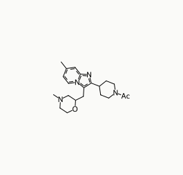 CC(=O)N1CCC(c2nc3cc(C)ccn3c2CC2CN(C)CCO2)CC1